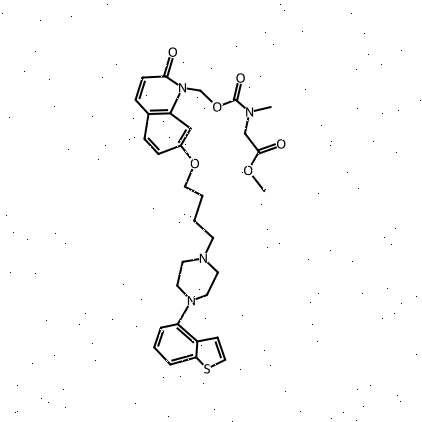 COC(=O)CN(C)C(=O)OCn1c(=O)ccc2ccc(OCCCCN3CCN(c4cccc5sccc45)CC3)cc21